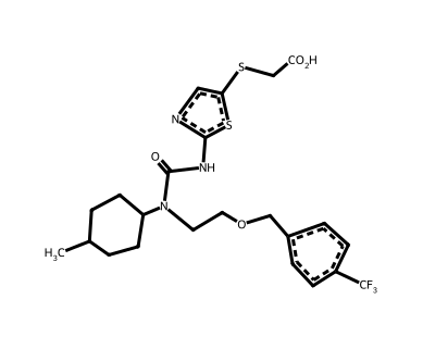 CC1CCC(N(CCOCc2ccc(C(F)(F)F)cc2)C(=O)Nc2ncc(SCC(=O)O)s2)CC1